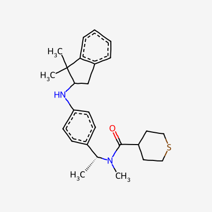 C[C@H](c1ccc(NC2Cc3ccccc3C2(C)C)cc1)N(C)C(=O)C1CCSCC1